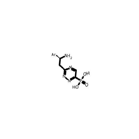 CC(=O)[C@@H](N)Cc1ncc(P(=O)(O)O)nn1